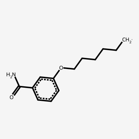 [CH2]CCCCCOc1cccc(C(N)=O)c1